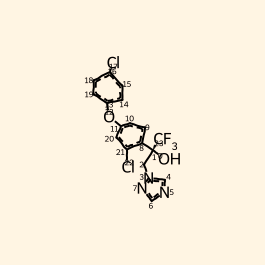 O[C@](Cn1cncn1)(c1ccc(Oc2ccc(Cl)cc2)cc1Cl)C(F)(F)F